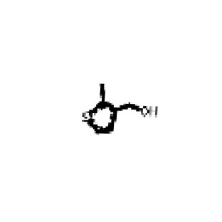 Cc1s[c]cc1CO